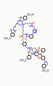 C[N+]1=C(/C=C/C=C/C=C2\N(CCCCCC(=O)NCc3cn(-c4cccc(C(=O)NC(CCCCN)C(=O)COc5c(F)cc(CNC(=O)C6CCN(S(=O)(=O)c7ccccc7-c7c8cc/c(=[N+]9\CCc%10cc(S(=O)(=O)O)ccc%109)cc-8oc8cc(N9CCc%10cc(S(=O)(=O)O)ccc%109)ccc78)CC6)cc5F)c4)nn3)c3ccc(S(=O)(=O)O)cc3C2(C)C)C(C)(C)c2cc(S(=O)(=O)O)ccc21